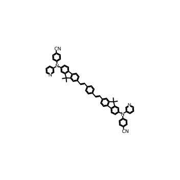 CC1(C)c2cc(/C=C/c3ccc(/C=C/c4ccc5c(c4)C(C)(C)c4cc(N(c6ccc(C#N)cc6)c6cccnc6)ccc4-5)cc3)ccc2-c2ccc(N(c3ccc(C#N)cc3)c3cccnc3)cc21